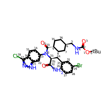 CC(C)(C)OC(=O)NC[C@H]1CC[C@H](C(=O)N(c2ccc3c(Cl)n[nH]c3c2)[C@@H](Cc2cccc(Br)c2)C(N)=O)CC1